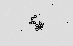 c1ccc(-c2cccc(-n3c4ccccc4c4cc(-c5ccc6c(c5)c5ccccc5n6-c5nccc6c5-c5ccnc7cccc-6c57)ccc43)c2)cc1